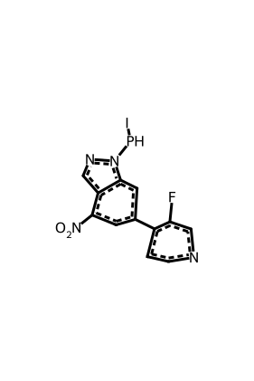 O=[N+]([O-])c1cc(-c2ccncc2F)cc2c1cnn2PI